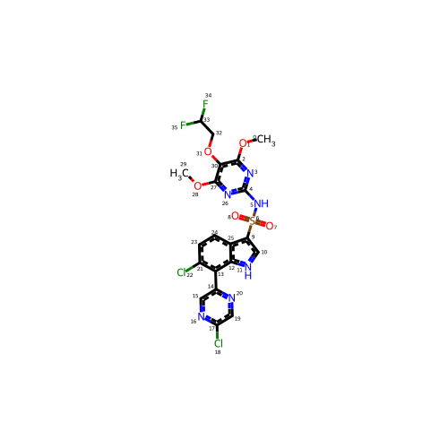 COc1nc(NS(=O)(=O)c2c[nH]c3c(-c4cnc(Cl)cn4)c(Cl)ccc23)nc(OC)c1OCC(F)F